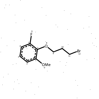 COc1cccc(F)c1OCCCBr